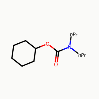 CCCN(CCC)C(=O)OC1CCCCC1